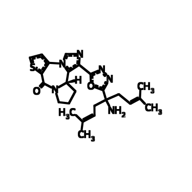 CC(C)=CCC(N)(CC=C(C)C)c1nnc(-c2ncn3c2[C@@H]2CCCN2C(=O)c2sccc2-3)o1